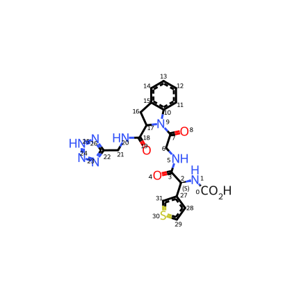 O=C(O)N[C@H](C(=O)NCC(=O)N1c2ccccc2CC1C(=O)NCc1nn[nH]n1)c1ccsc1